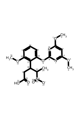 COc1cc(OC)nc(Oc2cccc(OC)c2C(CC(=O)O)C(C)[N+](=O)[O-])n1